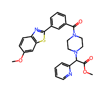 COC(=O)C(c1ccccn1)N1CCN(C(=O)c2cccc(-c3nc4ccc(OC)cc4s3)c2)CC1